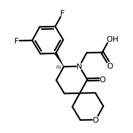 O=C(O)CN1C(=O)C2(CCOCC2)CC[C@H]1c1cc(F)cc(F)c1